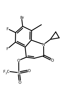 Cc1c(Br)c(F)c(F)c2c(OS(=O)(=O)C(F)(F)F)cc(=O)n(C3CC3)c12